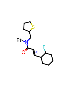 CCN(CC1CCCS1)C(=O)/C=C/C1CCCCC1F